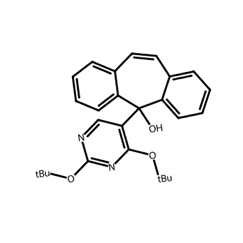 CC(C)(C)Oc1ncc(C2(O)c3ccccc3C=Cc3ccccc32)c(OC(C)(C)C)n1